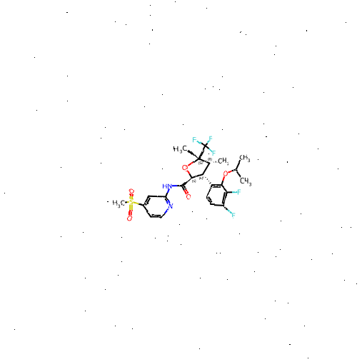 CC(C)Oc1c([C@@H]2[C@@H](C(=O)Nc3cc(S(C)(=O)=O)ccn3)O[C@](C)(C(F)(F)F)[C@@H]2C)ccc(F)c1F